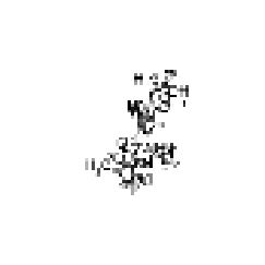 CCOC(=O)C1=C(CN2CCN3C(=O)C(CC(C)(C)C(=O)O)N[C@@H]3C2)NC(c2nccs2)=N[C@H]1c1cccc(F)c1Cl